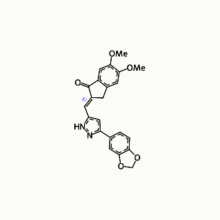 COc1cc2c(cc1OC)C(=O)/C(=C/c1cc(-c3ccc4c(c3)OCO4)n[nH]1)C2